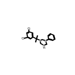 CC(C)(c1cc(Cl)cc(Cl)c1)N1CNCN(c2ccccc2)C1